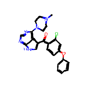 CN1CCN(c2ncnc3[nH]cc(C(=O)c4ccc(Oc5ccccc5)cc4Cl)c23)CC1